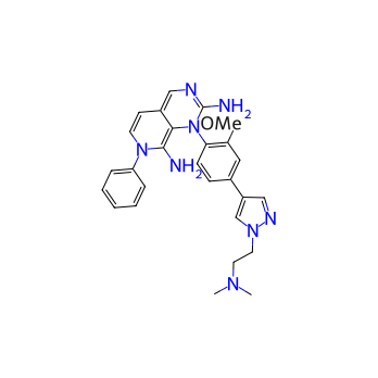 COc1cc(-c2cnn(CCN(C)C)c2)ccc1N1C(N)=NC=C2C=CN(c3ccccc3)C(N)=C21